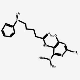 CCCCN(CCCC)c1nc(C)nc(OC)c1NC(=O)CCCCN(CCC)c1ccccc1